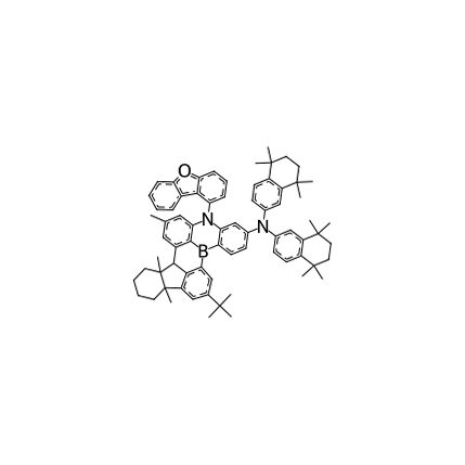 Cc1cc2c3c(c1)N(c1cccc4oc5ccccc5c14)c1cc(N(c4ccc5c(c4)C(C)(C)CCC5(C)C)c4ccc5c(c4)C(C)(C)CCC5(C)C)ccc1B3c1cc(C(C)(C)C)cc3c1C2C1(C)CCCCC31C